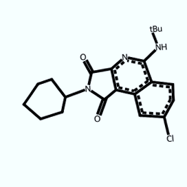 CC(C)(C)Nc1nc2c(c3cc(Cl)ccc13)C(=O)N(C1CCCCC1)C2=O